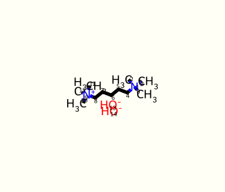 C[N+](C)(C)CCCCC[N+](C)(C)C.[OH-].[OH-]